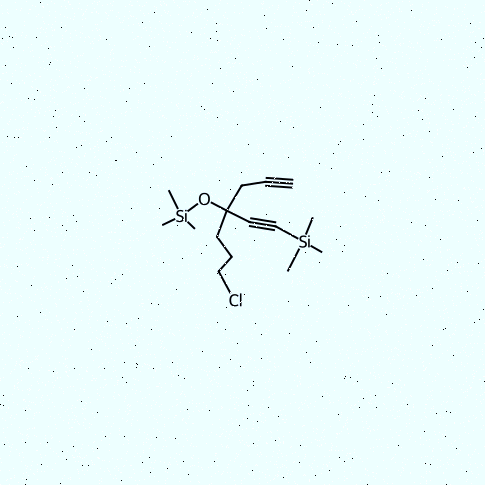 C#CCC(C#C[Si](C)(C)C)(CCCCl)O[Si](C)(C)C